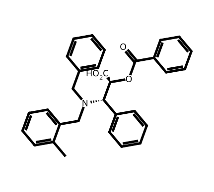 Cc1ccccc1CN(Cc1ccccc1)[C@@H](c1ccccc1)[C@H](OC(=O)c1ccccc1)C(=O)O